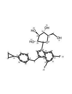 OC[C@H]1OC(n2cc(Cc3ccc(C4CC4)cc3)c3c(F)cc(F)cc32)[C@H](O)[C@@H](O)[C@@H]1O